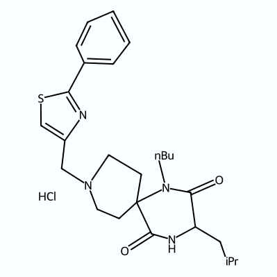 CCCCN1C(=O)C(CC(C)C)NC(=O)C12CCN(Cc1csc(-c3ccccc3)n1)CC2.Cl